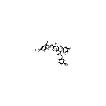 CCc1cccc(CNC[C@@H](O)[C@H](Cc2cc(F)cc(F)c2)NC(=O)CC2Sc3nc(O)cn3C2=O)c1